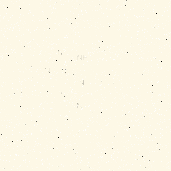 CC(=O)Nc1ncnn1-c1nc(-c2ccccc2)nc(-c2ccccc2)n1